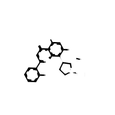 CN1CC[C@@H](c2c(O)cc(O)c3c(=O)cc(-c4ccccc4O)oc23)[C@@H]1CO